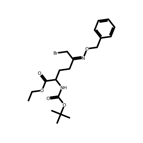 CCOC(=O)C(CCC(CBr)=NOCc1ccccc1)NC(=O)OC(C)(C)C